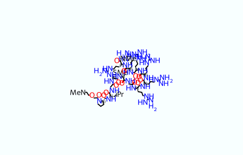 CNCCOCC(=O)N1CCC[C@H]1C(=O)N[C@@H](CC(C)C)C(=O)NCC(=O)N[C@@H](CSC)C(=O)N[C@@H](C)C(=O)NCC(=O)N[C@H](CCCNC(=N)N)C(=O)N[C@H](CCCNC(=N)N)C(=O)N[C@H](CCCNC(=N)N)C(=O)N[C@H](CCCNC(=N)N)C(=O)N[C@H](CCCNC(=N)N)C(=O)N[C@H](CCCNC(=N)N)C(=O)NC